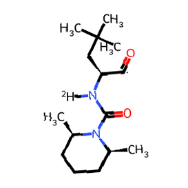 [2H]N(C(=O)N1[C@H](C)CCC[C@@H]1C)[C@H]([C]=O)CC(C)(C)C